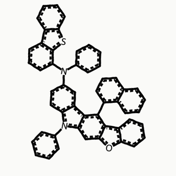 c1ccc(N(c2ccc3c(c2)c2c(-c4cccc5ccccc45)c4c(cc2n3-c2ccccc2)oc2ccccc24)c2cccc3c2sc2ccccc23)cc1